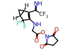 N=C(C1=C(NCC(=O)ON2C(=O)CCC2=O)C(F)(F)[C@@H]2C[C@H]12)C(F)(F)F